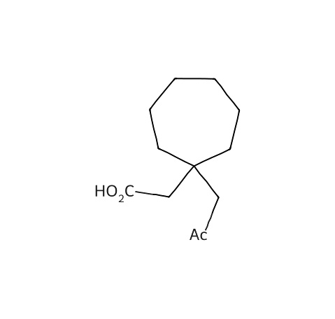 CC(=O)CC1(CC(=O)O)CCCCCC1